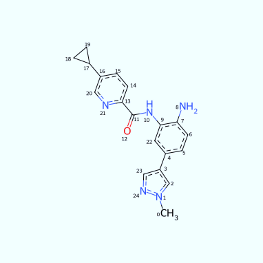 Cn1cc(-c2ccc(N)c(NC(=O)c3ccc(C4CC4)cn3)c2)cn1